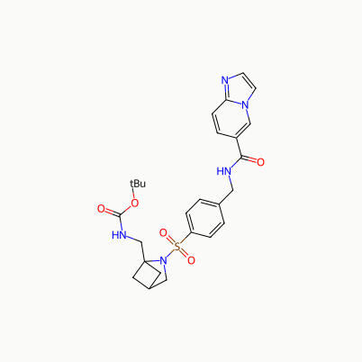 CC(C)(C)OC(=O)NCC12CC(CN1S(=O)(=O)c1ccc(CNC(=O)c3ccc4nccn4c3)cc1)C2